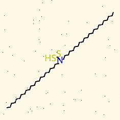 CCCCCCCCCCCCCCCCCCCCCCN(CCCCCCCCCCCCCCCCCCCCCC)C(=S)S